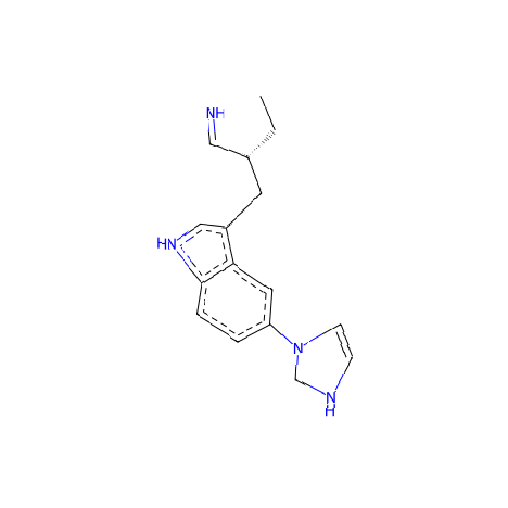 CC[C@@H](C=N)Cc1c[nH]c2ccc(N3C=CNC3)cc12